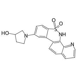 O=S1(=O)Nc2c(ccc3cccnc23)-c2cc(N3CCC(O)C3)ccc21